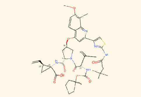 C=C[C@@H]1C[C@]1(NC(=O)[C@@H]1C[C@@H](Oc2cc(-c3csc(NC(=O)CC(C)(C)C)n3)nc3c(C)c(OC)ccc23)CN1C(=O)[C@@H](NC(=O)OC1(C)CCCC1)C(=C)C)C(=O)O